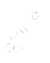 Cc1ccc(NC(O)c2cnc(C(C)NC(=O)c3ncnc(N)c3CN(C)C)s2)cc1C(F)(F)F